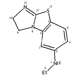 CCNc1ccc2c(c1)N1CCN=C1S2